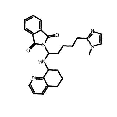 Cn1ccnc1CCCCC(NC1CCCc2cccnc21)N1C(=O)c2ccccc2C1=O